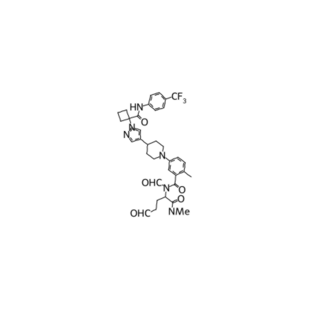 CNC(=O)C(CCC=O)N(C=O)C(=O)c1cc(N2CCC(c3cnn(C4(C(=O)Nc5ccc(C(F)(F)F)cc5)CCC4)c3)CC2)ccc1C